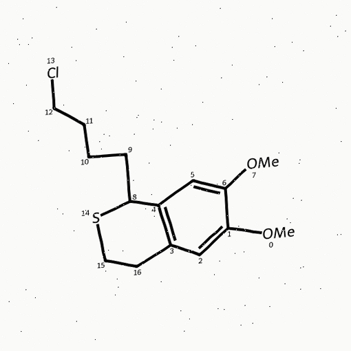 COc1cc2c(cc1OC)C(CCCCCl)SCC2